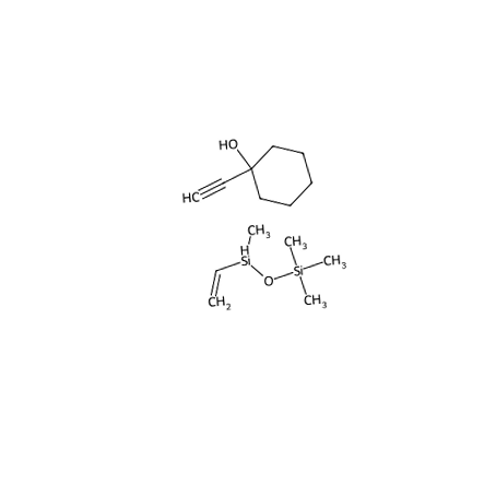 C#CC1(O)CCCCC1.C=C[SiH](C)O[Si](C)(C)C